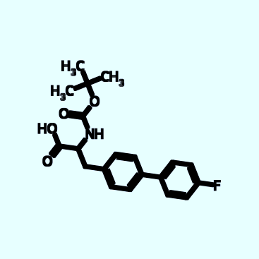 CC(C)(C)OC(=O)NC(Cc1ccc(-c2ccc(F)cc2)cc1)C(=O)O